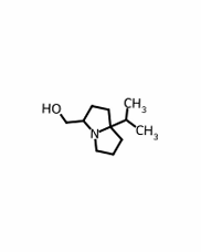 CC(C)C12CCCN1C(CO)CC2